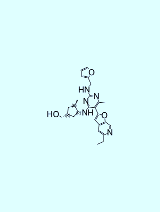 CCc1cc2cc(-c3c(C)nc(NCc4ccco4)nc3N[C@@H]3C[C@H](CO)C[C@H]3C)oc2cn1